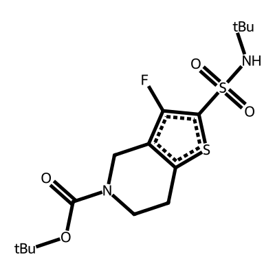 CC(C)(C)NS(=O)(=O)c1sc2c(c1F)CN(C(=O)OC(C)(C)C)CC2